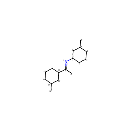 C/C(=N\C1CCCC(C)C1)C1CCCC(C)C1